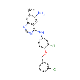 COc1cc2ncnc(Nc3ccc(OCc4cccc(Cl)c4)c(Cl)c3)c2cc1N